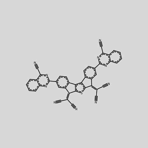 N#CC(C#N)=C1c2cc(-c3nc(C#N)c4ccccc4n3)ccc2-c2c1sc1c2-c2ccc(-c3nc(C#N)c4ccccc4n3)cc2C1=C(C#N)C#N